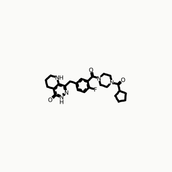 O=C(c1cc(Cc2n[nH]c(=O)c3c2NCCC3)ccc1F)N1CCN(C(=O)C2CCCC2)CC1